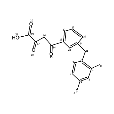 Cc1cc(F)ccc1Cc1cccc(C(=O)CC(=O)C(=O)O)c1